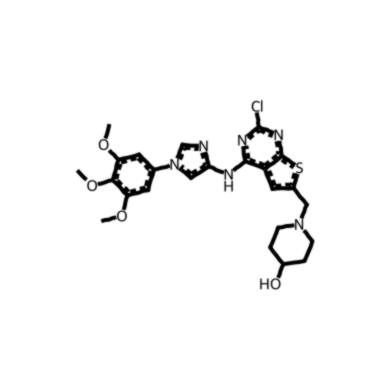 COc1cc(-n2cnc(Nc3nc(Cl)nc4sc(CN5CCC(O)CC5)cc34)c2)cc(OC)c1OC